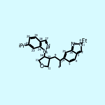 CCn1cc2ccc(C(C)CC3COCC3n3ncc4ccc(C(C)C)cc43)cc2n1